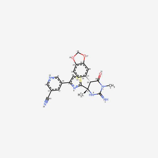 CN1C(=N)N[C@](C)(c2nc(-c3cncc(C#N)c3)cs2)[C@H](c2ccc3c(c2)OCO3)C1=O